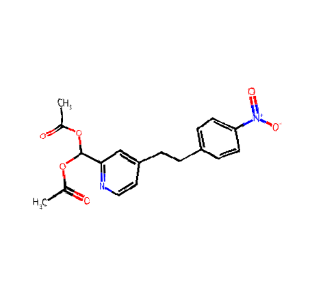 CC(=O)OC(OC(C)=O)c1cc(CCc2ccc([N+](=O)[O-])cc2)ccn1